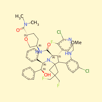 COCNc1cc(Cl)ccc1C1[C@@H](c2ccnc(Cl)c2F)[C@H](C(=O)N[C@@H]2CC[C@@H](C(=O)N(C)C)OC2)N([C@H](c2ccccc2)[C@@H](O)c2ccccc2)C12CC(CF)(CF)C2